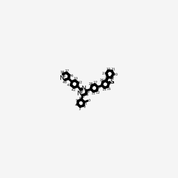 Cc1ccccc1-c1cc(-c2ccc(-c3ccc4sc5ccccc5c4c3)cc2)nc(-c2ccc(-c3cccnc3)cc2)n1